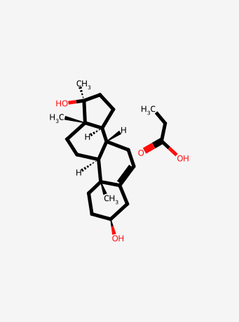 CCC(=O)O.C[C@]12CC[C@H](O)CC1=CC[C@@H]1[C@@H]2CC[C@@]2(C)[C@H]1CC[C@]2(C)O